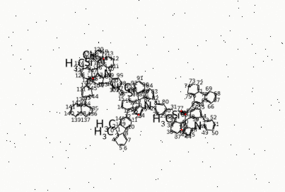 CC1(C)c2ccccc2-c2ccc(-c3ccc4c(c3)C3(c5ccccc5-n5c6ccc(C[Si]7(C)c8ccccc8C8(c9ccccc9-n9c%10ccccc%10c%10cccc8c%109)c8cc(-c9cc%10ccccc%10c%10ccccc9%10)ccc87)cc6c6cccc3c65)c3ccccc3[Si]4(C)Cc3ccc4c(c3)c3cccc5c3n4-c3ccccc3C53c4ccccc4[Si](C)(C)c4ccc(-c5ccc(-c6cccc7ccccc67)cc5)cc43)cc21